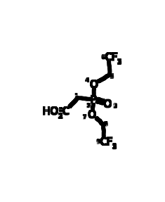 O=C(O)CP(=O)(OCC(F)(F)F)OCC(F)(F)F